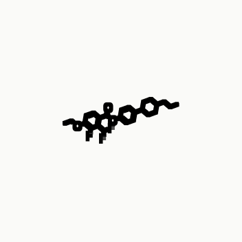 CCCC1CCC(c2ccc(OC(=O)c3ccc(OCC)c(F)c3C(F)F)cc2)CC1